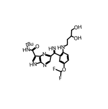 CC(C)(C)NC(=O)c1c[nH]c2ncc(C(=N)c3cc(OC(F)F)ccc3NCCC(O)CO)nc12